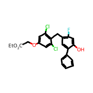 CCOC(=O)COc1cc(Cl)c(Cc2cc(-c3ccccc3)c(O)cc2F)c(Cl)c1